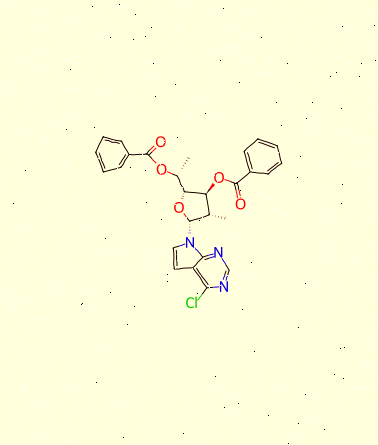 C[C@H]1[C@H](OC(=O)c2ccccc2)[C@@H]([C@@H](C)OC(=O)c2ccccc2)O[C@H]1n1ccc2c(Cl)ncnc21